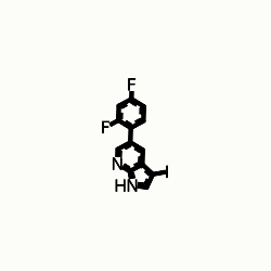 Fc1ccc(-c2cnc3[nH]cc(I)c3c2)c(F)c1